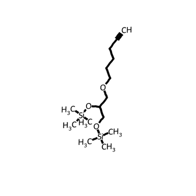 C#CCCCCOCC(CO[Si](C)(C)C)O[Si](C)(C)C